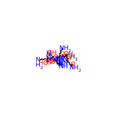 C[C@@H](O)[C@H](NC(=O)[C@@H](N)CCC(N)=O)C(=O)N[C@@H](CCCCN)C(=O)N[C@@H](Cc1c[nH]cn1)C(=O)N[C@@H](CC(=O)O)C(=O)N[C@@H](CCCCN)C(=O)O